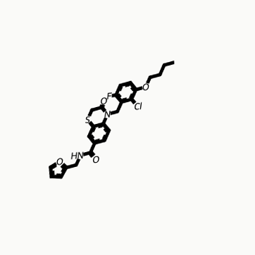 CCCCOc1ccc(F)c(CN2C(=O)CSc3cc(C(=O)NCc4ccco4)ccc32)c1Cl